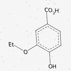 [CH2]COc1cc(C(=O)O)ccc1O